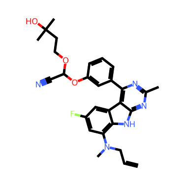 C=CCN(C)c1cc(F)cc2c1[nH]c1nc(C)nc(-c3cccc(OC(C#N)OCCC(C)(C)O)c3)c12